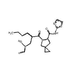 CCCCC(CN(O)C=O)C(=O)N1CC2(CC2)CC1C(=O)Nc1nccs1